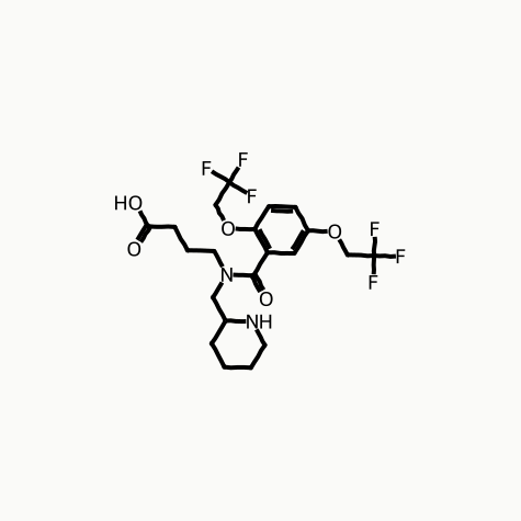 O=C(O)CCCN(CC1CCCCN1)C(=O)c1cc(OCC(F)(F)F)ccc1OCC(F)(F)F